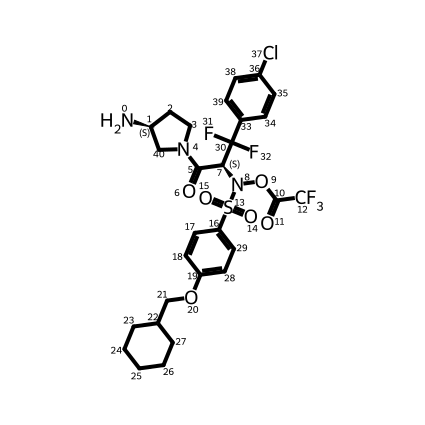 N[C@H]1CCN(C(=O)[C@H](N(OC(=O)C(F)(F)F)S(=O)(=O)c2ccc(OCC3CCCCC3)cc2)C(F)(F)c2ccc(Cl)cc2)C1